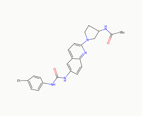 CCc1ccc(NC(=O)Nc2ccc3nc(N4CCC(NC(=O)C(C)(C)C)C4)ccc3c2)cc1